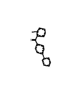 Cc1ccccc1C(=O)c1ccc(-c2ccccc2)cc1